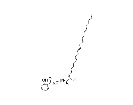 CCC=CCC=CCC=CCC=CCC=CCCCCSC(CC)C(=O)NCCNC(=O)c1ccccc1O